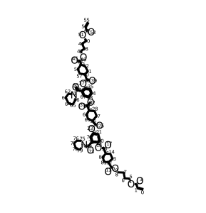 C=CC(=O)OCCCCOC(=O)C1CCC(C(=O)Oc2ccc(OC(=O)C3CCC(C(=O)Oc4ccc(OC(=O)C5CCC(C(=O)OCCCCOC(=O)C=C)CC5)c(C(=O)N5CCCCC5)c4)CC3)cc2C(=O)N2CCCCC2)CC1